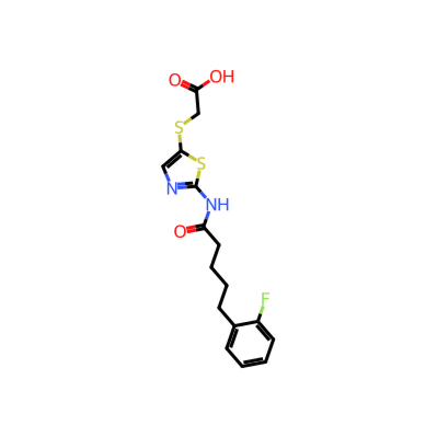 O=C(O)CSc1cnc(NC(=O)CCCCc2ccccc2F)s1